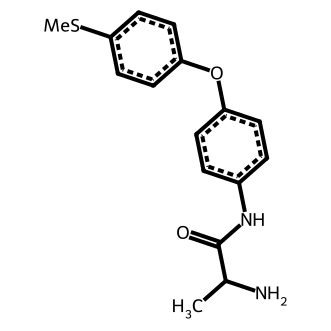 CSc1ccc(Oc2ccc(NC(=O)C(C)N)cc2)cc1